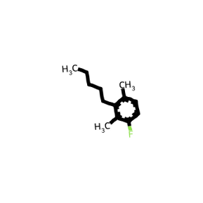 CCCCCc1c(C)ccc(F)c1C